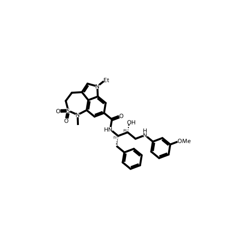 CCn1cc2c3c(cc(C(=O)N[C@@H](Cc4ccccc4)[C@H](O)CNc4cccc(OC)c4)cc31)N(C)S(=O)(=O)CC2